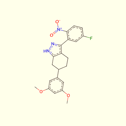 COc1cc(OC)cc(C2CCc3c(-c4cc(F)ccc4[N+](=O)[O-])n[nH]c3C2)c1